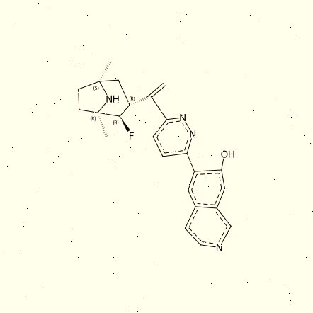 C=C(c1ccc(-c2cc3ccncc3cc2O)nn1)[C@H]1C[C@]2(C)CC[C@@](C)(N2)[C@@H]1F